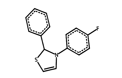 Fc1ccc(N2C=CSC2c2ccccc2)cc1